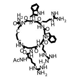 CC(=O)N[C@@H](CCCNC(=N)N)C(=O)N[C@H]1CC(=O)NCCCCC[C@@H](C(N)=O)NC(=O)[C@H](Cc2c[nH]c3ccccc23)NC(=O)[C@H](CCCNC(=N)N)NC(=O)[C@@H](Cc2ccccc2)NC(=O)[C@@H](CCCNC(=N)N)NC1=O